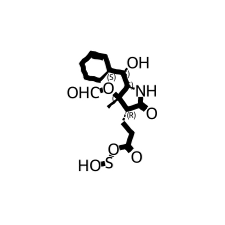 C[C@]1(OC=O)[C@@H](CCC(=O)OSO)C(=O)N[C@H]1[C@@H](O)[C@@H]1C=CCCC1